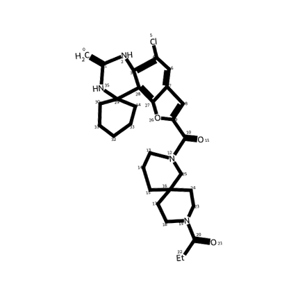 C=C1Nc2c(Cl)cc3cc(C(=O)N4CCCC5(CCN(C(=O)CC)CC5)C4)oc3c2C2(CCCCC2)N1